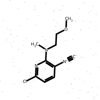 [C-]#[N+]c1ccc(Cl)nc1N(C)CCOC